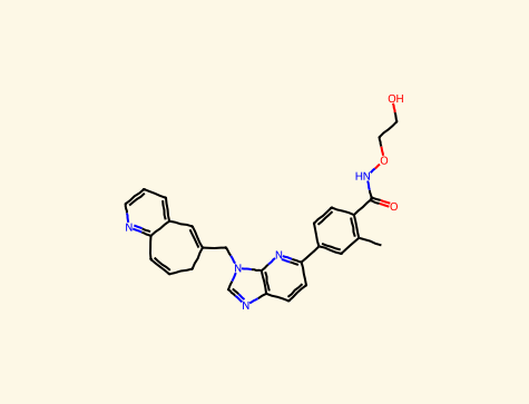 Cc1cc(-c2ccc3ncn(CC4=Cc5cccnc5C=CC4)c3n2)ccc1C(=O)NOCCO